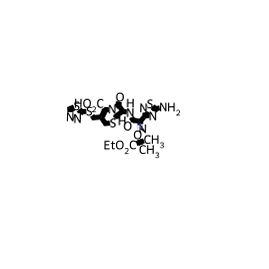 CCOC(=O)C(C)(C)O/N=C(\C(=O)NC1C(=O)N2C(C(=O)O)=C(CSc3nncs3)CS[C@H]12)c1nsc(N)n1